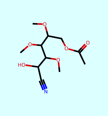 COC(COC(C)=O)C(OC)C(OC)C(O)C#N